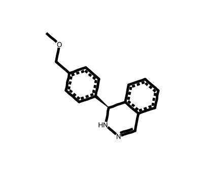 COCc1ccc([C@@H]2NN=Cc3ccccc32)cc1